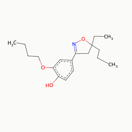 CCCCOc1cc(C2=NOC(CC)(CCC)C2)ccc1O